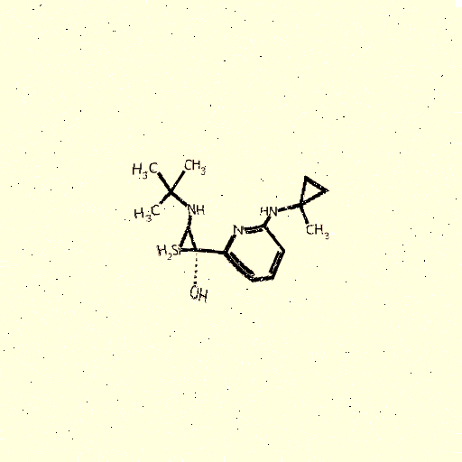 CC(C)(C)NC1[SiH2][C@]1(O)c1cccc(NC2(C)CC2)n1